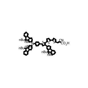 CCCCC1(CCCC)c2ccccc2-c2ccc(-c3cc(-c4ccc(N(c5ccc6c(c5)C(CCCC)(CCCC)c5ccccc5-6)c5ccc6c(c5)C(CCCC)(CCCC)c5ccccc5-6)cc4)sc3-c3ccc(-c4ccc(/C=C(\C#N)C(=O)O)s4)s3)cc21